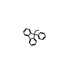 CCC1(c2ccccc2)c2c[c]ccc2-c2ccccc21